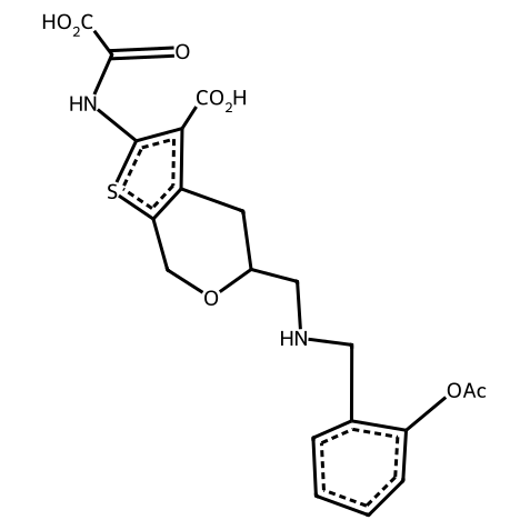 CC(=O)Oc1ccccc1CNCC1Cc2c(sc(NC(=O)C(=O)O)c2C(=O)O)CO1